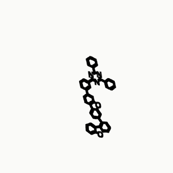 c1ccc(-c2nc(-c3ccccc3)nc(-c3cccc(-c4ccc5c(c4)oc4cc(-c6cccc7oc8ccccc8c67)ccc45)c3)n2)cc1